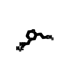 CCCC1CN(CNC)CCO1